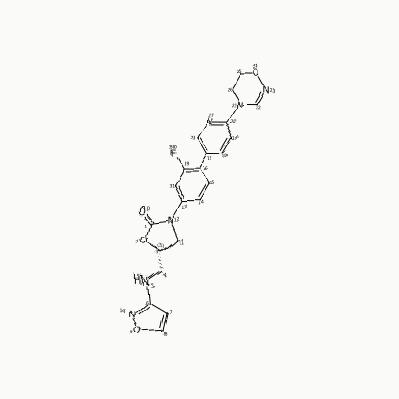 O=C1O[C@@H](CNc2ccon2)CN1c1ccc(-c2ccc(N3C=NOCC3)nc2)c(F)c1